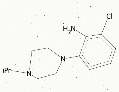 CC(C)N1CCN(c2cccc(Cl)c2N)CC1